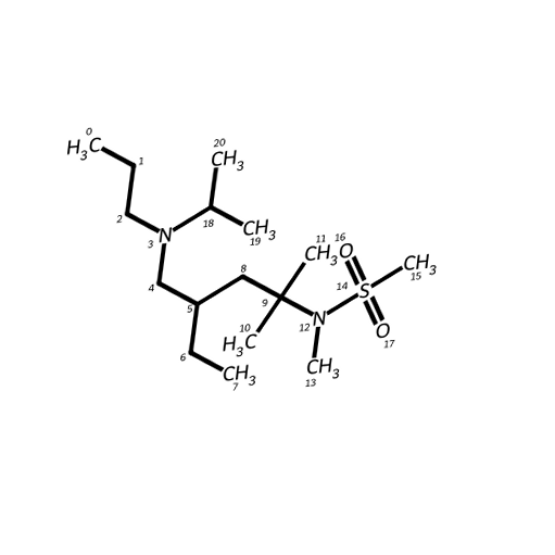 CCCN(CC(CC)CC(C)(C)N(C)S(C)(=O)=O)C(C)C